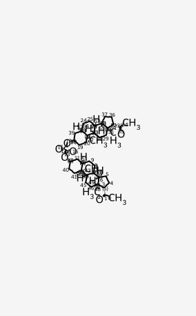 CC(=O)[C@H]1CC[C@H]2[C@@H]3CC[C@@H]4C[C@H](OS(=O)(=O)O[C@@H]5CC[C@@]6(C)[C@H](CC[C@@H]7[C@@H]6CC[C@]6(C)[C@@H](C(C)=O)CC[C@@H]76)C5)CC[C@]4(C)[C@H]3CC[C@]12C